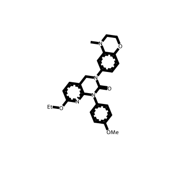 CCOc1ccc2c(n1)N(c1ccc(OC)cc1)C(=O)N(c1ccc3c(c1)N(C)CCO3)C2